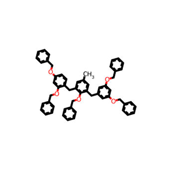 Cc1cc(Cc2cc(OCc3ccccc3)cc(OCc3ccccc3)c2)c(OCc2ccccc2)c(Cc2ccc(OCc3ccccc3)cc2OCc2ccccc2)c1